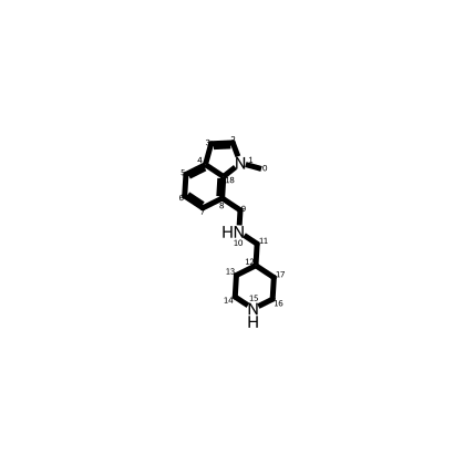 Cn1ccc2cccc(CNCC3CCNCC3)c21